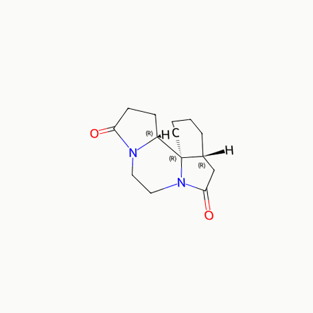 O=C1CC[C@H]2N1CCN1C(=O)C[C@H]3CCCC[C@@]321